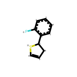 Fc1ccccc1C1CC=CS1